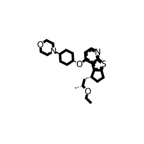 CCO[C@H](C)C[C@H]1CCc2sc3nccc(O[C@H]4CC[C@H](N5CCOCC5)CC4)c3c21